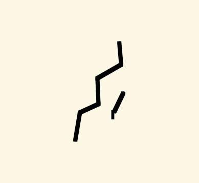 CCCCCC.CI